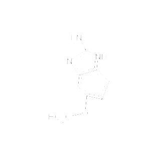 Nc1nc2cc(OC(=O)O)ccc2[nH]1